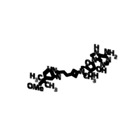 COCC(C)(C)c1ccc2[nH]c(CCC3CC(N(C)C[C@H]4O[C@@H](N5CNc6c(N)ncnc65)[C@H](O)[C@@H]4O)C3)nc2c1